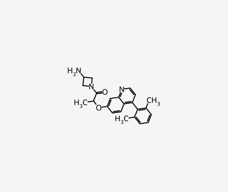 Cc1cccc(C)c1-c1ccnc2cc(OC(C)C(=O)N3CC(N)C3)ccc12